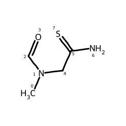 CN(C=O)CC(N)=S